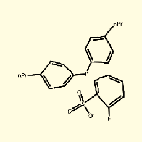 CCCc1ccc([I+]c2ccc(CCC)cc2)cc1.O=S(=O)([O-])c1ccccc1F